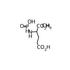 C.O=C(O)CCC(N[PH](=O)O)C(=O)O